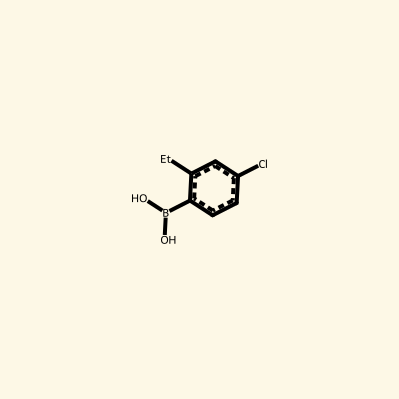 CCc1cc(Cl)ccc1B(O)O